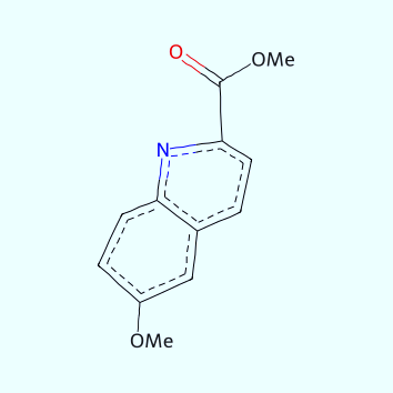 COC(=O)c1ccc2cc(OC)ccc2n1